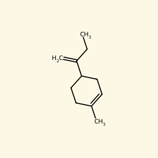 C=C(CC)C1CC=C(C)CC1